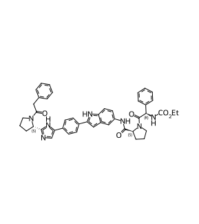 CCOC(=O)N[C@@H](C(=O)N1CCC[C@H]1C(=O)Nc1ccc2[nH]c(-c3ccc(-c4cnc([C@@H]5CCCN5C(=O)Cc5ccccc5)[nH]4)cc3)cc2c1)c1ccccc1